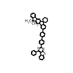 CC1(C)c2ccccc2-c2cc3c(cc21)-c1cc(-c2ccc(-c4ccc(-c5nc(-c6ccccc6)c6c(n5)sc5ccccc56)cc4)cc2)ccc1C31CCCCC1